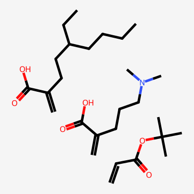 C=C(CCC(CC)CCCC)C(=O)O.C=C(CCCN(C)C)C(=O)O.C=CC(=O)OC(C)(C)C